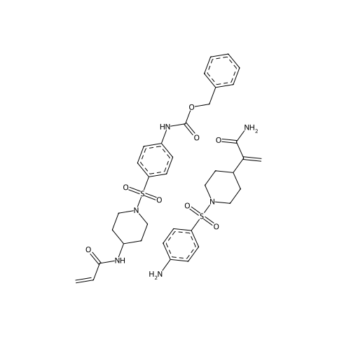 C=C(C(N)=O)C1CCN(S(=O)(=O)c2ccc(N)cc2)CC1.C=CC(=O)NC1CCN(S(=O)(=O)c2ccc(NC(=O)OCc3ccccc3)cc2)CC1